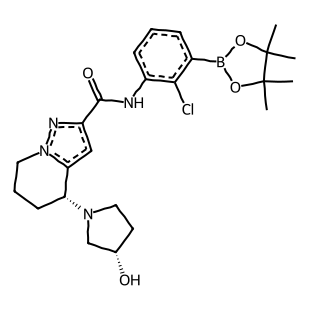 CC1(C)OB(c2cccc(NC(=O)c3cc4n(n3)CCC[C@H]4N3CC[C@H](O)C3)c2Cl)OC1(C)C